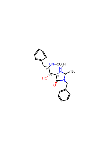 CCCCC1N[C@@H]([C@H](O)[C@H](Cc2ccccc2)NC(=O)O)C(=O)N1Cc1ccccc1